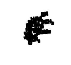 CO[C@H]1C[C@]2(C)C(=O)CC[C@H]2[C@@H]2CC[C@H]3C[C@H](O)[C@H](C)C[C@]3(C)[C@H]21